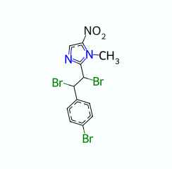 Cn1c([N+](=O)[O-])cnc1C(Br)C(Br)c1ccc(Br)cc1